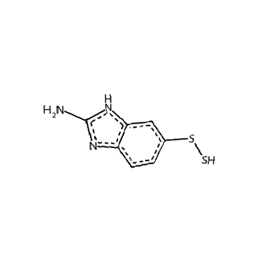 Nc1nc2ccc(SS)cc2[nH]1